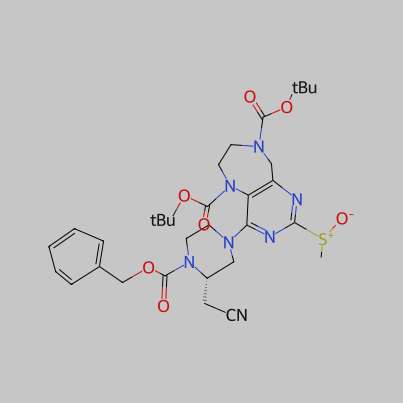 C[S+]([O-])c1nc2c(c(N3CCN(C(=O)OCc4ccccc4)[C@@H](CC#N)C3)n1)N(C(=O)OC(C)(C)C)CCN(C(=O)OC(C)(C)C)C2